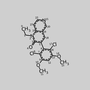 CCn1c(=O)c(-c2c(Cl)c(OC)cc(OC)c2Cl)cc2cnccc21